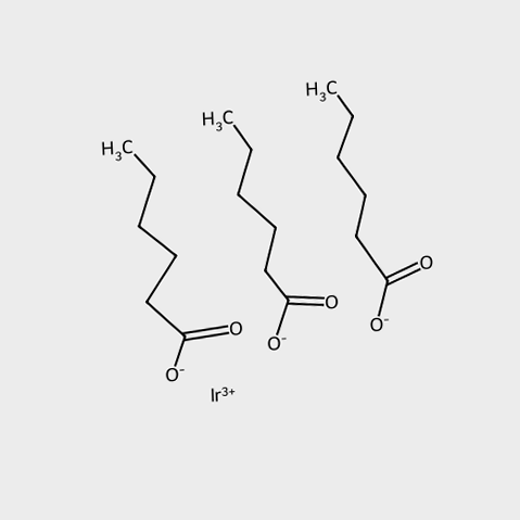 CCCCCC(=O)[O-].CCCCCC(=O)[O-].CCCCCC(=O)[O-].[Ir+3]